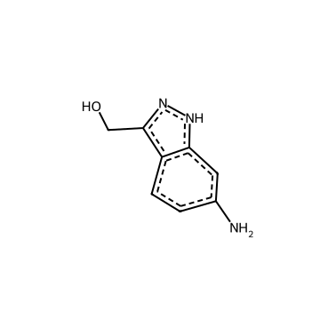 Nc1ccc2c(CO)n[nH]c2c1